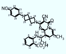 Cc1cc([C@@H](C)Nc2ccccc2C(=O)O)c2nc(N3CC4(CN(c5ccc(C#N)cc5)C4)C3)c(C#N)c(=O)n2c1